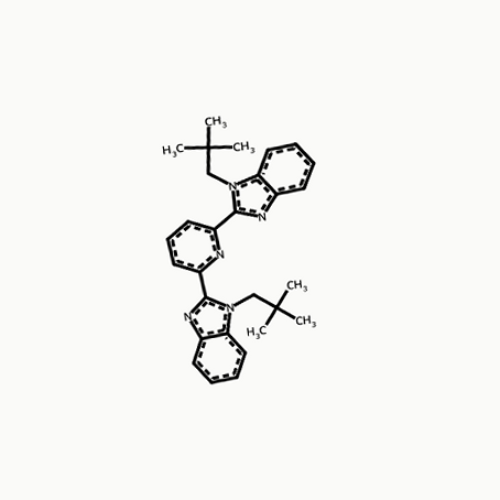 CC(C)(C)Cn1c(-c2cccc(-c3nc4ccccc4n3CC(C)(C)C)n2)nc2ccccc21